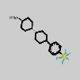 CCCCCC[C@H]1CC[C@H](C2CCC(c3ccc(S(F)(F)(F)(F)F)cc3)CC2)CC1